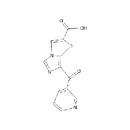 O=C(O)c1cn2cnc(C(=O)c3cccnc3)c2s1